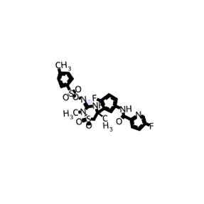 Cc1ccc(S(=O)(=O)O/N=C2/N[C@](C)(c3cc(NC(=O)c4ccc(F)cn4)ccc3F)CS(=O)(=O)N2C)cc1